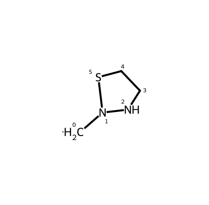 [CH2]N1NCCS1